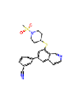 CS(=O)(=O)N1CCC(Sc2cc(-c3cccc(C#N)c3)cc3ccncc23)CC1